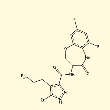 CCc1[nH]nc(C(=O)NC2COc3cc(F)cc(F)c3NC2=O)c1CCC(F)(F)F